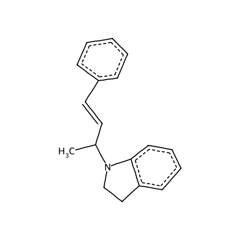 CC(C=Cc1ccccc1)N1CCc2ccccc21